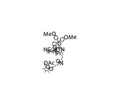 COc1ccc(C(OC[C@H](CN(C)CCCCCCN(C)C(=O)CCCCOC2OC(COC(C)=O)C(C)C(C)C2C)OP(OCCC#N)N(C(C)C)C(C)C)(c2ccccc2)c2ccc(OC)cc2)cc1